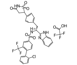 O=C(O)C(F)(F)F.O=C1CC(c2ccc(C[C@H](NS(=O)(=O)c3ccc(-c4ccccc4Cl)c(C(F)(F)F)c3)c3nc4ccccc4[nH]3)cc2)S(=O)(=O)N1